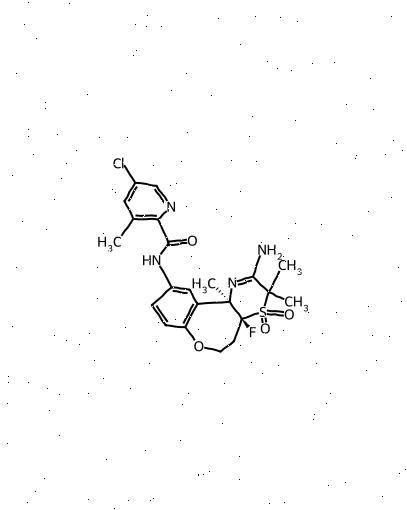 Cc1cc(Cl)cnc1C(=O)Nc1ccc2c(c1)[C@@]1(C)N=C(N)C(C)(C)S(=O)(=O)[C@]1(F)CCO2